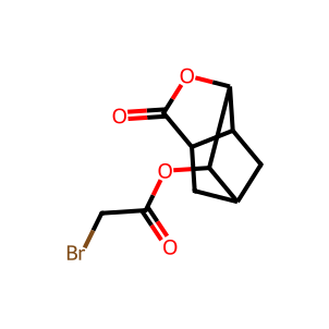 O=C(CBr)OC1C2CC3C(=O)OC1C3C2